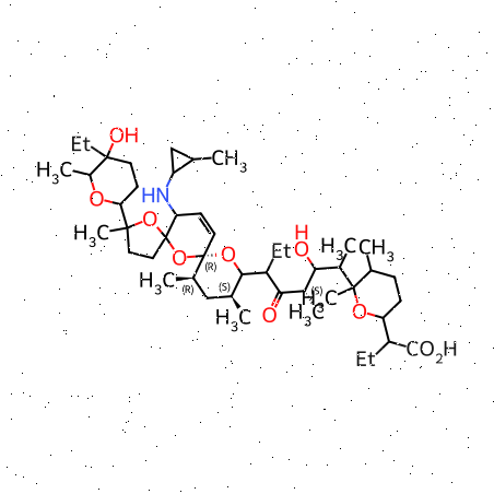 CCC(C(=O)O)C1CCC(C)C(C)(C(C)C(O)[C@H](C)C(=O)C(CC)C2O[C@]3(C=CC(NC4CC4C)C4(CCC(C)(C5CCC(O)(CC)C(C)O5)O4)O3)[C@H](C)C[C@@H]2C)O1